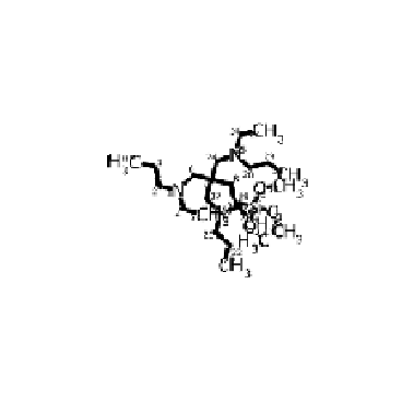 CCCN(CC)CC(CC[Si](OC)(OC)OC)(CN(CC)CCC)CN(CC)CCC